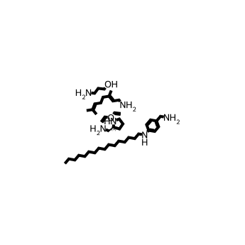 C=COC=C.CC(C)=CCCC(C)=CCN.CCCCCCCCCCCCCCCCNc1ccc(CN)cc1.NCCCO.NC[C@@H]1CCCN1